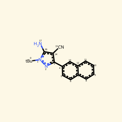 CC(C)(C)n1nc(-c2ccc3ccccc3c2)c(C#N)c1N